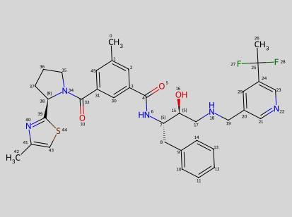 Cc1cc(C(=O)N[C@@H](Cc2ccccc2)[C@@H](O)CNCc2cncc(C(C)(F)F)c2)cc(C(=O)N2CCC[C@@H]2c2nc(C)cs2)c1